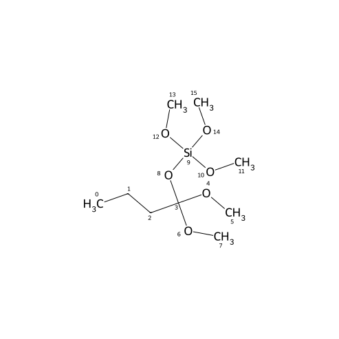 CCCC(OC)(OC)O[Si](OC)(OC)OC